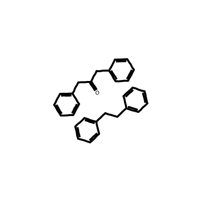 O=C(Cc1ccccc1)Cc1ccccc1.c1ccc(CCc2ccccc2)cc1